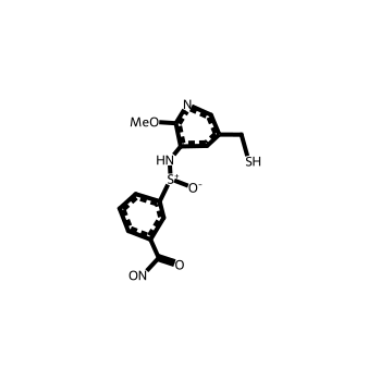 COc1ncc(CS)cc1N[S+]([O-])c1cccc(C(=O)N=O)c1